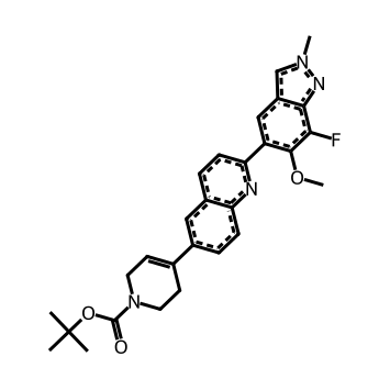 COc1c(-c2ccc3cc(C4=CCN(C(=O)OC(C)(C)C)CC4)ccc3n2)cc2cn(C)nc2c1F